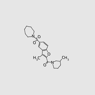 Cc1c(C(=O)N2CCCC(C)C2)oc2ccc(S(=O)(=O)N3CCCCCC3)cc12